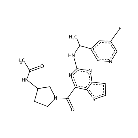 CC(=O)NC1CCN(C(=O)c2nc(NC(C)c3cncc(F)c3)nc3ccsc23)C1